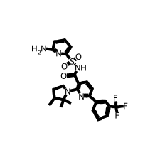 CC1CCN(c2nc(-c3cccc(C(F)(F)F)c3)ccc2C(=O)NS(=O)(=O)c2cccc(N)n2)C1(C)C